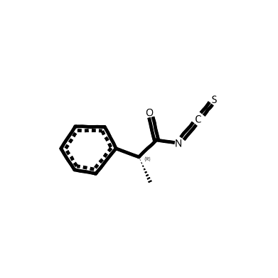 C[C@@H](C(=O)N=C=S)c1ccccc1